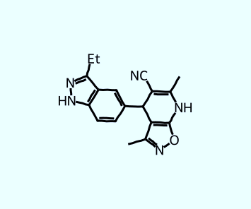 CCc1n[nH]c2ccc(C3C(C#N)=C(C)Nc4onc(C)c43)cc12